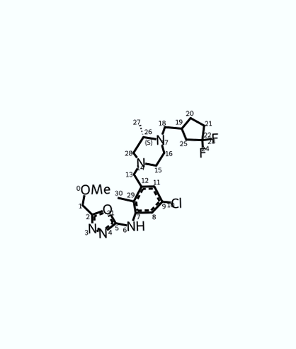 COCc1nnc(Nc2cc(Cl)cc(CN3CCN(CC4CCC(F)(F)C4)[C@@H](C)C3)c2C)o1